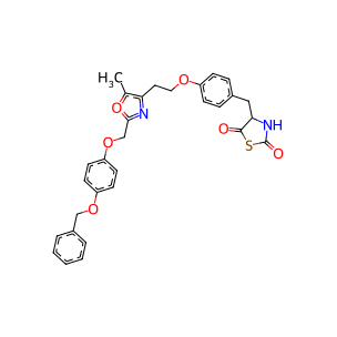 Cc1oc(COc2ccc(OCc3ccccc3)cc2)nc1CCOc1ccc(CC2NC(=O)SC2=O)cc1